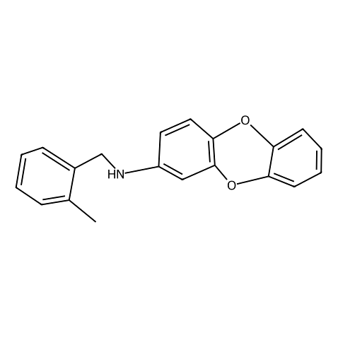 Cc1ccccc1CNc1ccc2c(c1)Oc1ccccc1O2